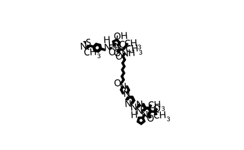 CC(=O)c1c(C)c2cnc(Nc3ccc(N4CCN(C(=O)CCCCCCCC(=O)NC(C(=O)N5C[C@H](O)C[C@H]5C(=O)NCc5ccc(-c6scnc6C)cc5)C(C)(C)C)CC4)cn3)nc2n(C2CCCC2)c1=O